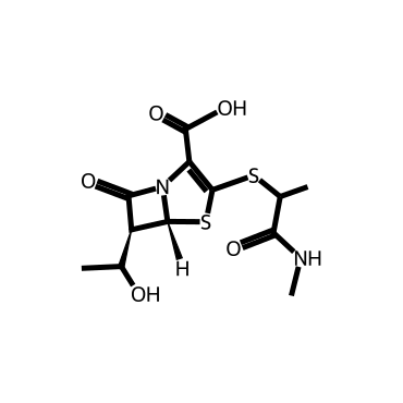 CNC(=O)C(C)SC1=C(C(=O)O)N2C(=O)[C@H](C(C)O)[C@H]2S1